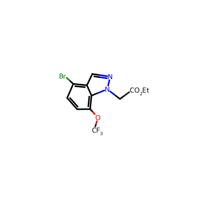 CCOC(=O)Cn1ncc2c(Br)ccc(OC(F)(F)F)c21